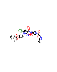 BC1(B)Oc2ccc(-n3c(Cl)cc4c(=O)n(CC5(O)CCN(C(=O)c6cnc(C7CC7)o6)CC5)cnc43)cc2O1